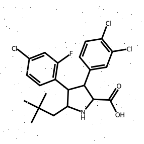 CC(C)(C)CC1NC(C(=O)O)C(c2ccc(Cl)c(Cl)c2)C1c1ccc(Cl)cc1F